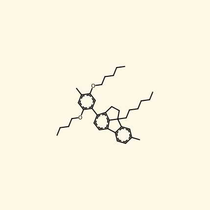 CCCCCCC12CCc3c(-c4cc(OCCCCC)c(C)cc4OCCCC)ccc(c31)-c1ccc(C)cc12